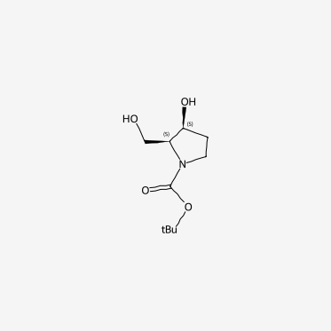 CC(C)(C)OC(=O)N1CC[C@H](O)[C@@H]1CO